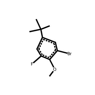 COc1c(F)cc(C(C)(C)C)cc1Br